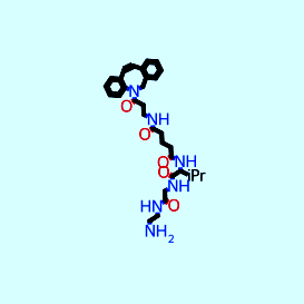 CC(C)C(NC(=O)CCCC(=O)NCCC(=O)N1Cc2ccccc2C#Cc2ccccc21)C(=O)NCC(=O)NCCN